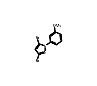 COc1cccc(-n2nc(Br)cc2Br)c1